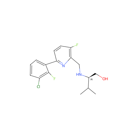 CC(C)[C@H](CO)NCc1nc(-c2cccc(Cl)c2F)ccc1F